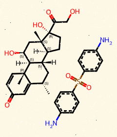 C[C@H]1C[C@@H]2[C@H]([C@@H](O)C[C@@]3(C)[C@H]2CC[C@]3(O)C(=O)CO)[C@@]2(C)C=CC(=O)C=C12.Nc1ccc(S(=O)(=O)c2ccc(N)cc2)cc1